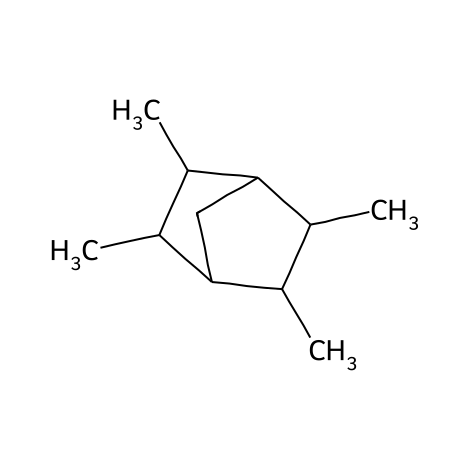 CC1C(C)C2CC1C(C)C2C